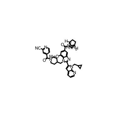 COc1cc(C(=O)N2C[C@H]3CC[C@@H]2[C@@H]3N)cc2nc(-c3cc4cccnc4n3CC3CC3)n(CC3CCN(C(=O)c4ccnc(C#N)c4)CC3)c12